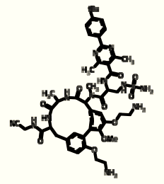 COc1c(OCCN)cc2cc1-c1cc(ccc1OCCN)CC(C(=O)NCC#N)NC(=O)C(C)NC(=O)C2N(C)C(=O)C(CNS(N)(=O)=O)NC(=O)c1c(C)nc(-c2ccc(C(C)(C)C)cc2)nc1C